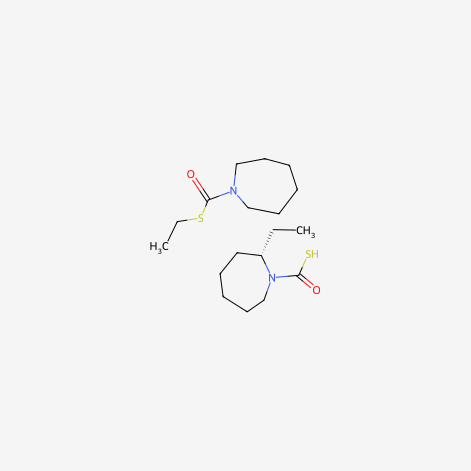 CCSC(=O)N1CCCCCC1.CC[C@H]1CCCCCN1C(=O)S